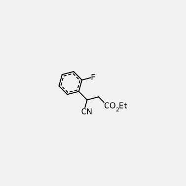 CCOC(=O)CC(C#N)c1ccccc1F